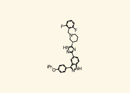 CC(C)Oc1ccc(-c2n[nH]c3ccc(-c4n[nH]c([C@@H]5CCCN(Cc6c(F)cccc6F)C5)n4)cc23)cc1